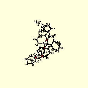 Cn1cc(-c2cc(-c3ccc(N4CC5CC(C4)N5C(=O)Cc4cccc(N5CCNCC5)c4)nc3)c3cncnc3c2)cn1